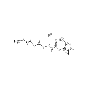 CCOCCOCCOC(=O)Cc1[nH]cc[n+]1C.[Br-]